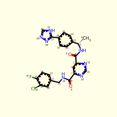 C[C@H](NC(=O)c1cc(C(=O)NCc2ccc(F)c(Cl)c2)ncn1)c1ccc(-c2nnc[nH]2)cc1